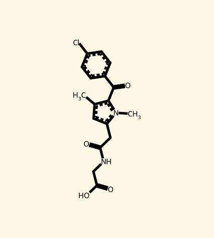 Cc1cc(CC(=O)NCC(=O)O)n(C)c1C(=O)c1ccc(Cl)cc1